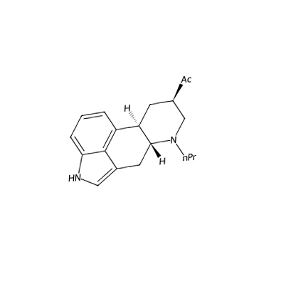 CCCN1C[C@H](C(C)=O)C[C@@H]2c3cccc4[nH]cc(c34)C[C@H]21